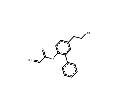 C=CC(=O)Oc1ccc(CCO)cc1-c1ccccc1